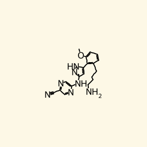 COc1cccc(CCCCN)c1-c1cc(Nc2cnc(C#N)cn2)n[nH]1